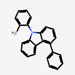 Cc1ccccc1-n1c2ccccc2c2c(-c3ccccc3)cccc21